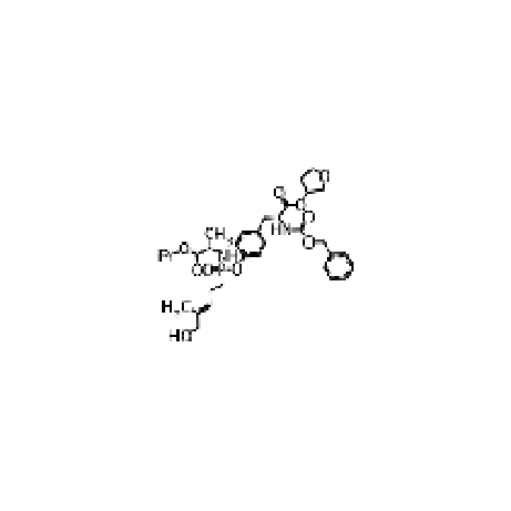 C/C(=C\CCP(=O)(N[C@@H](C)C(=O)OC(C)C)Oc1ccc(C[C@H](NC(=O)OCc2ccccc2)C(=O)O[C@H]2CCOC2)cc1)CO